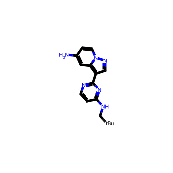 CC(C)(C)CNc1ccnc(-c2cnn3ccc(N)cc23)n1